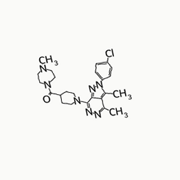 Cc1nnc(N2CCC(C(=O)N3CCN(C)CC3)CC2)c2nn(-c3ccc(Cl)cc3)c(C)c12